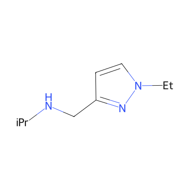 CCn1ccc(CNC(C)C)n1